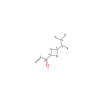 C=CC(=O)C1CC(C(C)C(C)C)C1